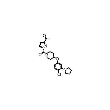 CC(=O)c1ccn(C(=O)N2CCC(Oc3ccc(Cl)c(N4CCCC4)c3)CC2)n1